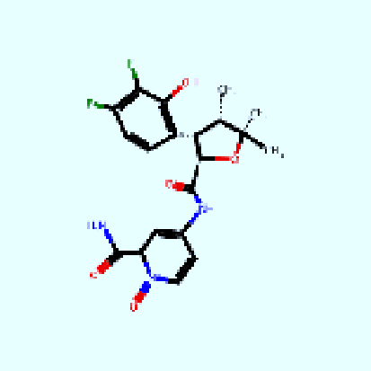 C[C@H]1[C@@H](c2ccc(F)c(F)c2O)[C@H](C(=O)NC2=CC(C(N)=O)[N+](=O)C=C2)O[C@@]1(C)C(F)(F)F